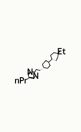 CCCc1cnc(CC[C@H]2CC[C@H]([C@H]3CC[C@H](CC)CC3)CC2)nc1